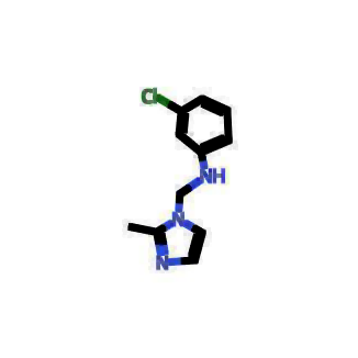 Cc1nccn1CNc1cccc(Cl)c1